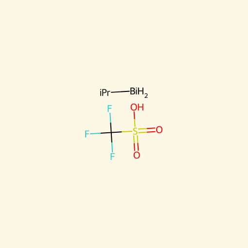 C[CH](C)[BiH2].O=S(=O)(O)C(F)(F)F